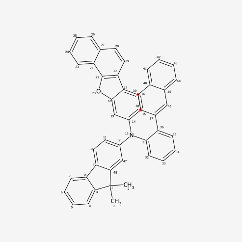 CC1(C)c2ccccc2-c2ccc(N(c3ccc4c(c3)oc3c5ccccc5ccc43)c3ccccc3-c3ccc4ccccc4c3)cc21